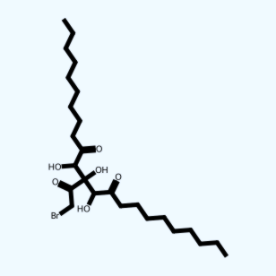 CCCCCCCCCC(=O)C(O)C(O)(C(=O)CBr)C(O)C(=O)CCCCCCCCC